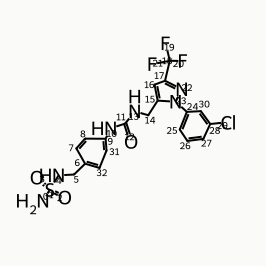 NS(=O)(=O)NCc1ccc(NC(=O)NCc2cc(C(F)(F)F)nn2-c2cccc(Cl)c2)cc1